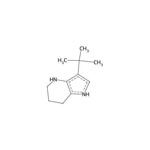 CC(C)(C)c1c[nH]c2c1NCCC2